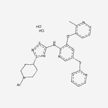 CC(=O)N1CCC(c2nsc(Nc3ncc(Sc4ccccn4)cc3Oc3cccnc3C)n2)CC1.Cl.Cl